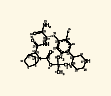 CC(C)(C)OC(=O)N1C2CCC(C2)[C@H]1C(=O)N[C@@H](Cc1ccc(C2CCCNC2)cc1F)C(N)=O